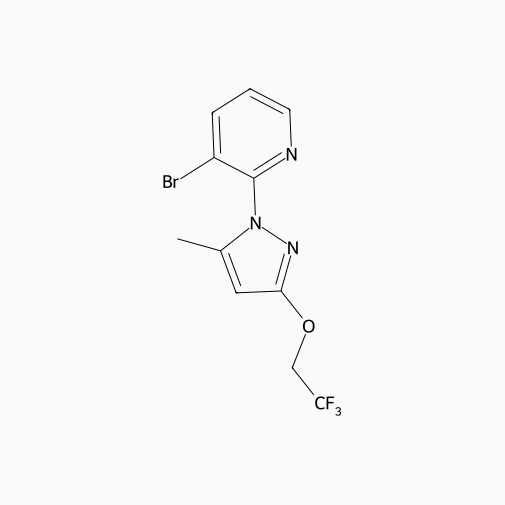 Cc1cc(OCC(F)(F)F)nn1-c1ncccc1Br